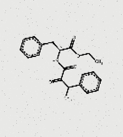 CCOC(=O)[C@H](Cc1ccccc1)NC(=O)C(=O)C(C)c1ccccc1